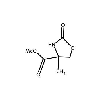 COC(=O)C1(C)COC(=O)N1